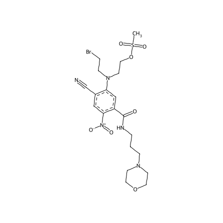 CS(=O)(=O)OCCN(CCBr)c1cc(C(=O)NCCCN2CCOCC2)c([N+](=O)[O-])cc1C#N